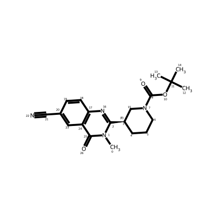 Cn1c([C@@H]2CCCN(C(=O)OC(C)(C)C)C2)nc2ccc(C#N)cc2c1=O